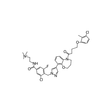 Cc1c(Cl)cccc1OCCCC(=O)N1CCCOc2c(-c3cnn(Cc4c(F)cc(C(=O)NCC[N+](C)(C)C)cc4Cl)c3)cccc21